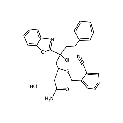 Cl.N#Cc1ccccc1CSC(CC(N)=O)CC(O)(CCc1ccccc1)c1nc2ccccc2o1